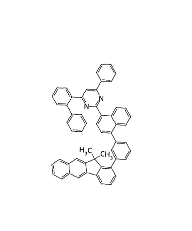 CC1(C)c2cc3ccccc3cc2-c2cccc(-c3cccc(-c4ccc(-c5nc(-c6ccccc6)cc(-c6ccccc6-c6ccccc6)n5)c5ccccc45)c3)c21